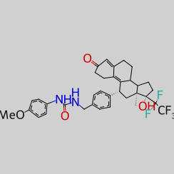 COc1ccc(NC(=O)NCc2ccc([C@H]3C[C@@]4(C)C(CC[C@@]4(O)C(F)(F)C(F)(F)F)C4CCC5=CC(=O)CCC5=C43)cc2)cc1